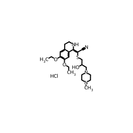 CCOc1cc2c(cc1OCC)C(=C(C#N)SCC(O)CN1CCN(C)CC1)NCC2.Cl